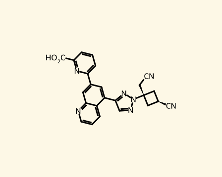 N#CC[C@]1(n2ncc(-c3cc(-c4cccc(C(=O)O)n4)cc4ncccc34)n2)C[C@H](C#N)C1